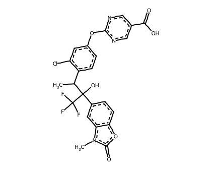 CC(c1ccc(Oc2ncc(C(=O)O)cn2)cc1Cl)C(O)(c1ccc2oc(=O)n(C)c2c1)C(F)(F)F